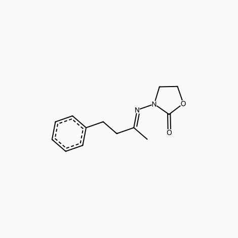 CC(CCc1ccccc1)=NN1CCOC1=O